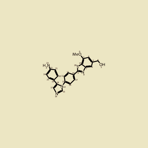 COc1cc(CO)cc2nc(-c3ccc(-n4cncc4-c4ccc(N)cc4)cc3)sc12